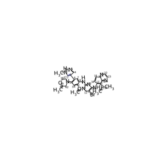 CN/C=C(\C=N)c1cc(Nc2ncc(Br)c(Nc3ccc4nccnc4c3P(C)C)n2)c(OC)cc1N1CCOC(C)C1